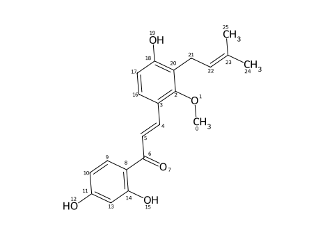 COc1c(/C=C/C(=O)c2ccc(O)cc2O)ccc(O)c1CC=C(C)C